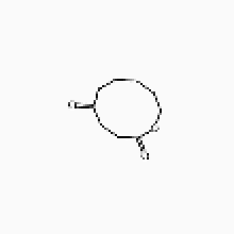 O=C1CCCCCOC(=O)CC1